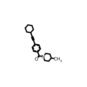 CC1CCN(C(=O)c2ccc(C#CC3CCCCC3)cc2)CC1